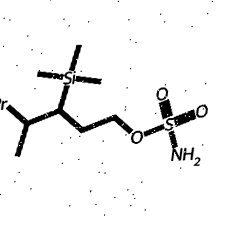 CC(C)C(C)C(CCOS(N)(=O)=O)[Si](C)(C)C